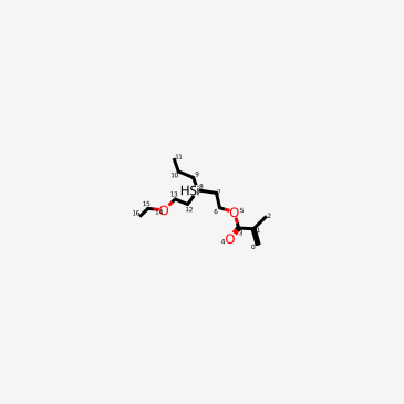 C=C(C)C(=O)OCC[SiH](CCC)CCOCC